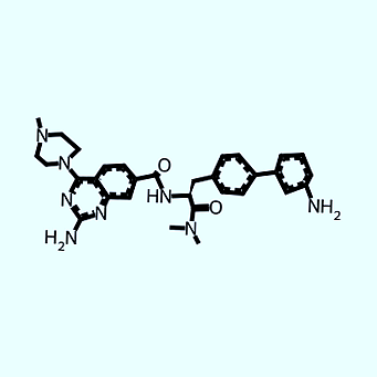 CN1CCN(c2nc(N)nc3cc(C(=O)N[C@@H](Cc4ccc(-c5cccc(N)c5)cc4)C(=O)N(C)C)ccc23)CC1